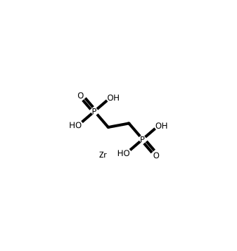 O=P(O)(O)CCP(=O)(O)O.[Zr]